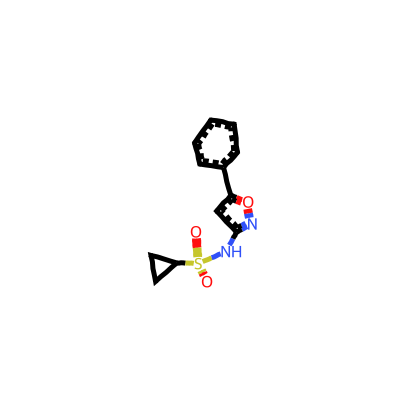 O=S(=O)(Nc1cc(-c2ccccc2)on1)C1CC1